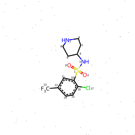 O=S(=O)(NC1CCNCC1)c1cc(C(F)(F)F)ccc1Cl